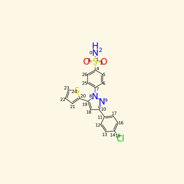 NS(=O)(=O)c1ccc(-n2nc(-c3ccc(Cl)cc3)cc2-c2cccs2)cc1